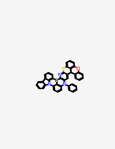 c1ccc(N2c3cc4c(nc3B3c5c2cccc5-n2c5ccccc5c5cccc3c52)Sc2cccc3c2C4c2ccccc2O3)cc1